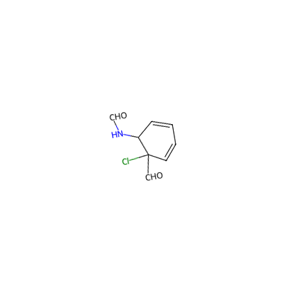 O=CNC1C=CC=CC1(Cl)C=O